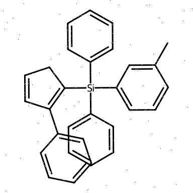 Cc1cccc([Si](C2=C(c3ccccc3)C=CC2)(c2ccccc2)c2ccccc2)c1